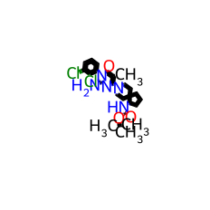 Cc1c(N2CCC3(CCCC3NC(=O)OC(C)(C)C)CC2)nc(N)n(-c2cccc(Cl)c2Cl)c1=O